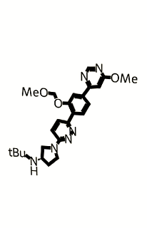 COCOc1cc(-c2cc(OC)ncn2)ccc1-c1ccc(N2CC[C@H](NC(C)(C)C)C2)nn1